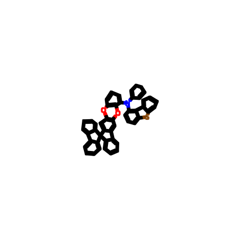 C1=CC(N(c2cccc3c2Oc2cc4c(cc2O3)C2(c3ccccc3-c3ccccc32)c2ccccc2-4)c2cccc3sc4ccccc4c23)=CCC1